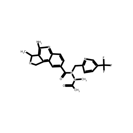 CC(=O)N(C)N(Cc1ccc(C(F)(F)F)cn1)C(=O)c1ccc2nc(N)c3c(c2c1)COC3C